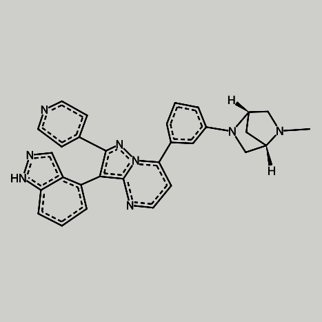 CN1C[C@@H]2C[C@H]1CN2c1cccc(-c2ccnc3c(-c4cccc5[nH]ncc45)c(-c4ccncc4)nn23)c1